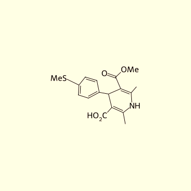 COC(=O)C1=C(C)NC(C)=C(C(=O)O)C1c1ccc(SC)cc1